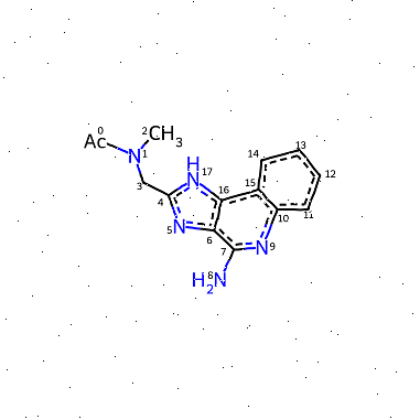 CC(=O)N(C)Cc1nc2c(N)nc3ccccc3c2[nH]1